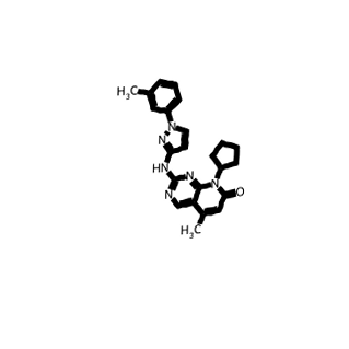 Cc1cccc(-n2ccc(Nc3ncc4c(C)cc(=O)n(C5CCCC5)c4n3)n2)c1